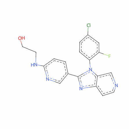 OCCNc1ccc(-c2nc3ccncc3n2-c2ccc(Cl)cc2F)cn1